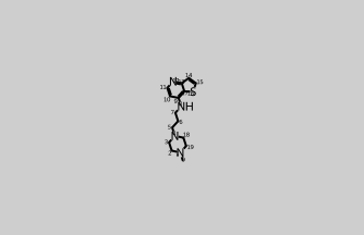 CN1CCN(CCCNc2ccnc3ccsc23)CC1